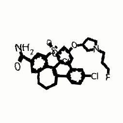 CS(=O)(=O)c1cc(C(N)=O)cc2c1C(c1ccc(OC3CCN(CCCF)C3)cc1)=C(c1ccc(Cl)cc1Cl)CCC2